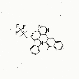 Cc1c2ccccc2cc2c3ncnc4cc(CC(C)(C)C(F)(F)F)c5c6ccccc6n(c12)c5c43